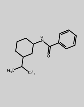 CC(C)C1CCCC(NC(=O)c2ccccc2)C1